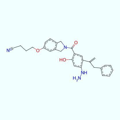 C=C(Cc1ccccc1)c1cc(C(=O)N2Cc3ccc(OCCCC#N)cc3C2)c(O)cc1NN